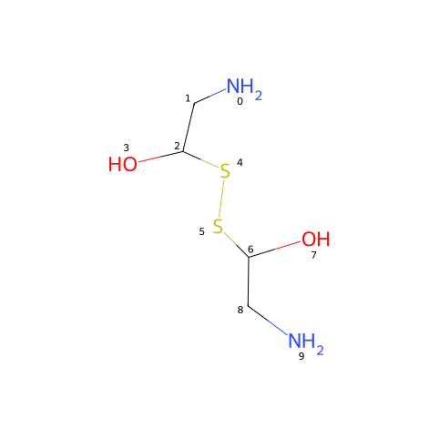 NCC(O)SSC(O)CN